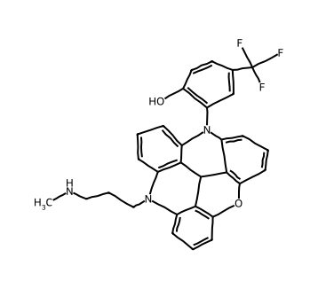 CNCCCN1c2cccc3c2C2c4c(cccc4N(c4cc(C(F)(F)F)ccc4O)c4cccc1c42)O3